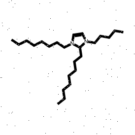 CCCCCCCCC1N(CCCCC)C=CN1CCCCCCCC